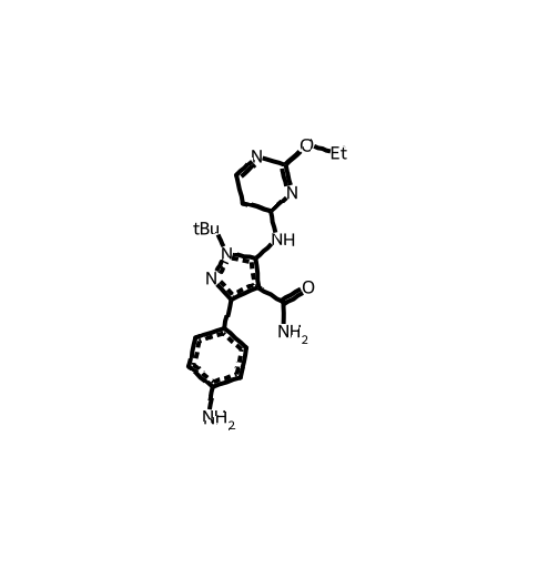 CCOC1=NC(Nc2c(C(N)=O)c(-c3ccc(N)cc3)nn2C(C)(C)C)CC=N1